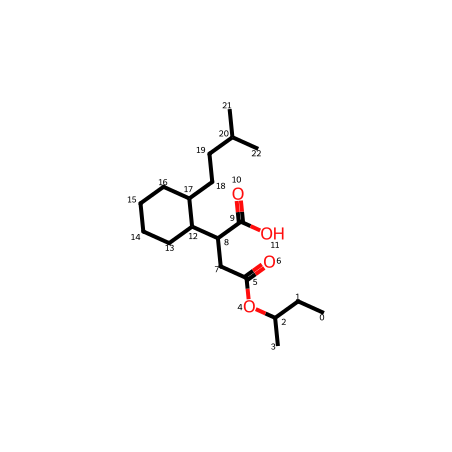 CCC(C)OC(=O)CC(C(=O)O)C1CCCCC1CCC(C)C